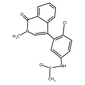 Cn1cc(-c2cc(N[S+](C)[O-])ccc2Cl)c2ccccc2c1=O